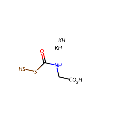 O=C(O)CNC(=O)SS.[KH].[KH]